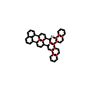 c1ccc(-c2cc(-c3ccccc3)nc(-c3ccc(-c4cccc5cccc(-c6ccc(-c7cc(-c8ccccc8)cc(-c8ccccc8)n7)cc6)c45)cc3)c2)cc1